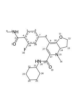 CNC(=O)c1ccc(CC2=C3OCCC3N(C)C(C(=O)NC3CCCCC3)=C2)cc1F